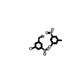 Cc1cc(Cl)cc([N+](=O)[O-])c1.O=[N+]([O-])c1cc(Cl)cc(CBr)c1